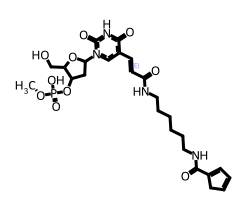 COP(=O)(O)OC1CC(n2cc(/C=C/C(=O)NCCCCCCNC(=O)C3=CC=CC3)c(=O)[nH]c2=O)OC1CO